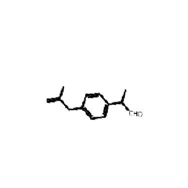 C=C(C)Cc1ccc(C(C)C=O)cc1